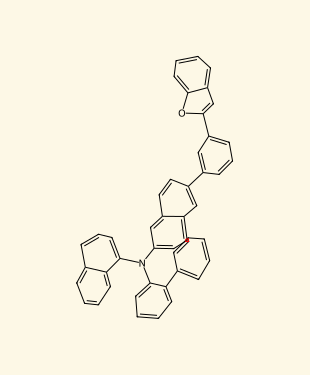 c1ccc(-c2ccccc2N(c2ccc3cc(-c4cccc(-c5cc6ccccc6o5)c4)ccc3c2)c2cccc3ccccc23)cc1